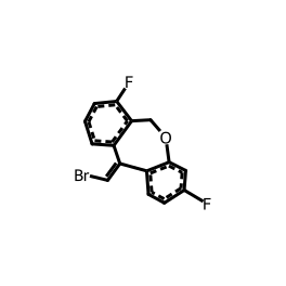 Fc1ccc2c(c1)OCc1c(F)cccc1C2=CBr